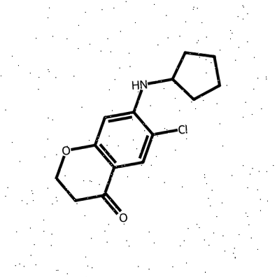 O=C1CCOc2cc(NC3CCCC3)c(Cl)cc21